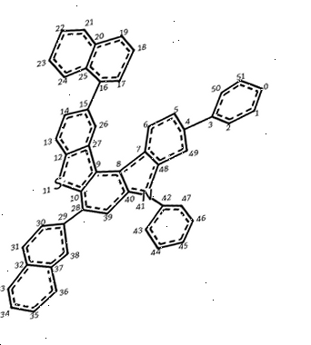 c1ccc(-c2ccc3c4c5c(sc6ccc(-c7cccc8ccccc78)cc65)c(-c5ccc6ccccc6c5)cc4n(-c4ccccc4)c3c2)cc1